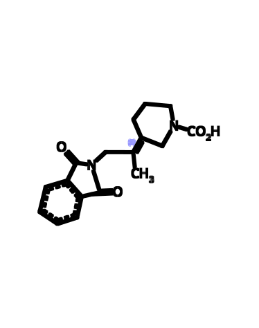 C/C(CN1C(=O)c2ccccc2C1=O)=C1/CCCN(C(=O)O)C1